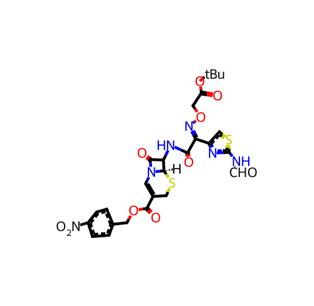 CC(C)(C)OC(=O)CON=C(C(=O)NC1C(=O)N2C=C(C(=O)OCc3ccc([N+](=O)[O-])cc3)CS[C@H]12)c1csc(NC=O)n1